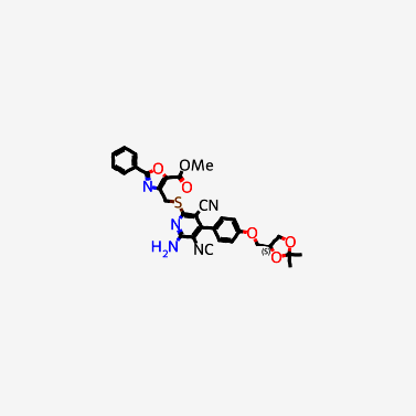 [C-]#[N+]c1c(N)nc(SCc2nc(-c3ccccc3)oc2C(=O)OC)c(C#N)c1-c1ccc(OC[C@H]2COC(C)(C)O2)cc1